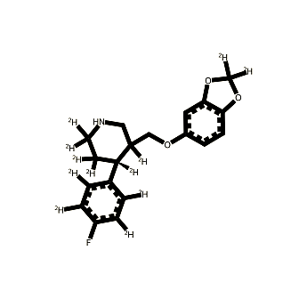 [2H]c1c([2H])c([C@@]2([2H])C([2H])(COc3ccc4c(c3)OC([2H])([2H])O4)CNC([2H])([2H])C2([2H])[2H])c([2H])c([2H])c1F